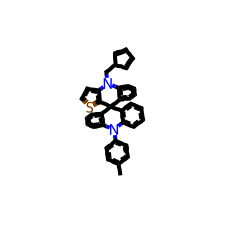 Cc1ccc(N2c3ccccc3C3(c4ccccc4N(CC4C=CC=C4)c4ccsc43)c3ccccc32)cc1